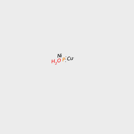 O.[Cu].[Ni].[P]